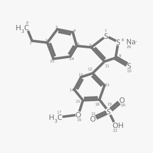 CCc1ccc(-c2ssc(=S)c2-c2ccc(OC)c(S(=O)(=O)O)c2)cc1.[Na]